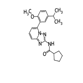 COc1ccc(C(C)C)cc1-c1cccc2nc(NC(=O)C3CCCC3)nn12